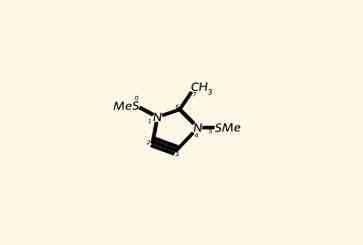 CSN1C#CN(SC)C1C